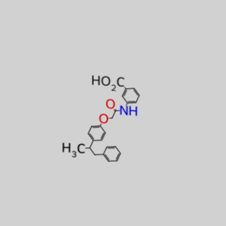 CC(Cc1ccccc1)c1ccc(OCC(=O)Nc2cccc(C(=O)O)c2)cc1